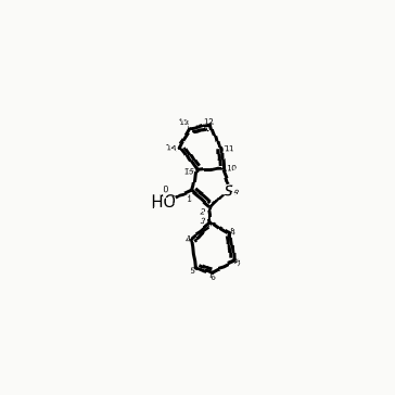 Oc1c(-c2ccccc2)sc2ccccc12